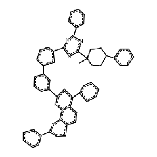 CC1(c2nc(-c3ccccc3)nc(-c3cccc(-c4cccc(-c5cc(-c6ccccc6)c6ccc7ccc(-c8ccccc8)nc7c6n5)c4)c3)n2)CCC(c2ccccc2)CC1